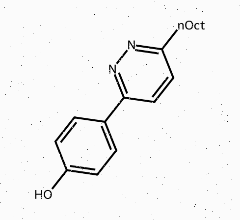 CCCCCCCCc1ccc(-c2ccc(O)cc2)nn1